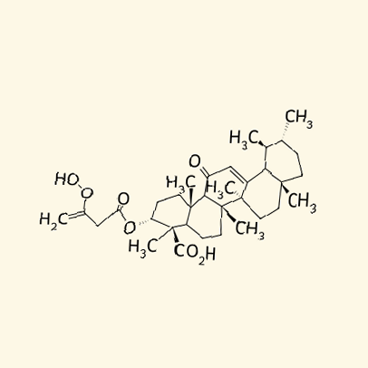 C=C(CC(=O)O[C@@H]1CC[C@@]2(C)C(CC[C@]3(C)C2C(=O)C=C2C4[C@@H](C)[C@H](C)CC[C@]4(C)CC[C@]23C)[C@@]1(C)C(=O)O)OO